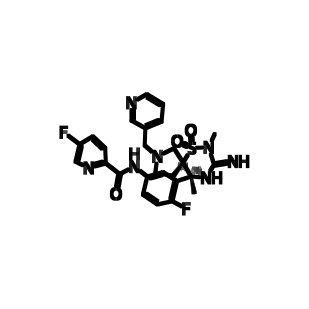 CN1C(=N)N[C@](C)(c2cc(NC(=O)c3ccc(F)cn3)ccc2F)[C@@]2(CCN(Cc3cccnc3)C2)S1(=O)=O